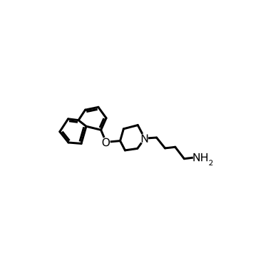 NCCCCN1CCC(Oc2cccc3ccccc23)CC1